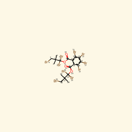 CC(C)(CBr)C(Br)(Br)OC(=O)c1c(Br)c(Br)c(Br)c(Br)c1C(=O)OC(Br)(Br)C(C)(C)CBr